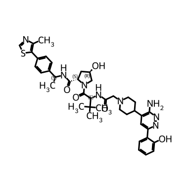 Cc1ncsc1-c1ccc([C@H](C)NC(=O)[C@@H]2C[C@@H](O)CN2C(=O)[C@@H](NC(=O)CN2CCC(c3cc(-c4ccccc4O)nnc3N)CC2)C(C)(C)C)cc1